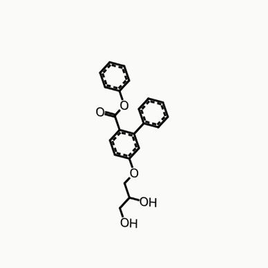 O=C(Oc1ccccc1)c1ccc(OCC(O)CO)cc1-c1ccccc1